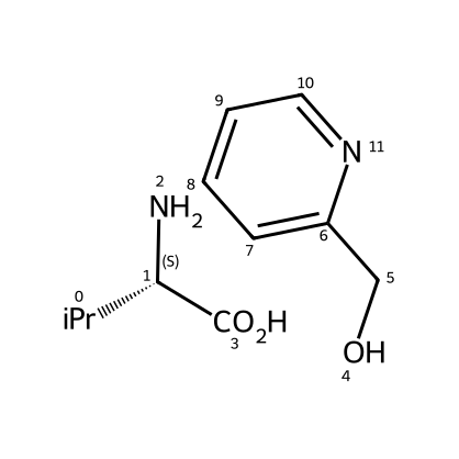 CC(C)[C@H](N)C(=O)O.OCc1ccccn1